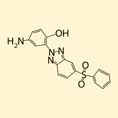 Nc1ccc(O)c(-n2nc3ccc(S(=O)(=O)c4ccccc4)cc3n2)c1